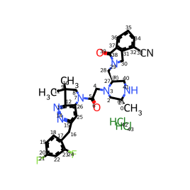 C[C@@H]1CN(CC(=O)N2CC(C)(C)c3nnc(Cc4ccc(F)cc4F)cc32)[C@@H](CN2Cc3c(C#N)cccc3C2=O)CN1.Cl.Cl